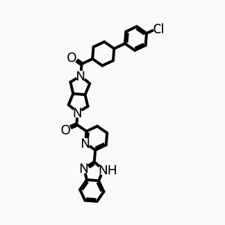 O=C(C1=NC(c2nc3ccccc3[nH]2)=CCC1)N1CC2CN(C(=O)C3CCC(c4ccc(Cl)cc4)CC3)CC2C1